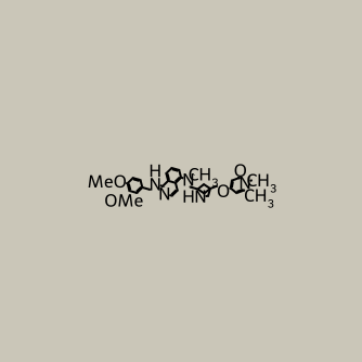 COc1ccc(CNc2nccc3c(N(C)CC45CC(COc6cc(C)n(C)c(=O)c6)(CN4)C5)cccc23)c(OC)c1